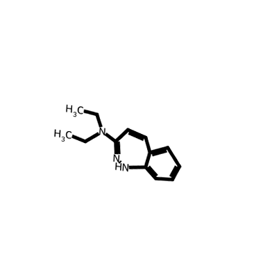 CCN(CC)C1=NNc2ccccc2C=C1